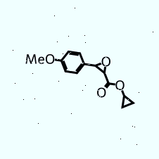 COc1ccc(C2OC2C(=O)OC2CC2)cc1